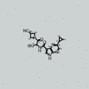 CC(C)(C)C(NC(=O)c1c[nH]c2ncc(C3CC3)nc12)C(=O)N1CC(C#N)C1